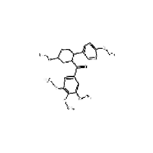 COc1ccc(C2CCC(OC)CC2C(=O)c2cc(OC)c(OC)c(OC)c2)cc1